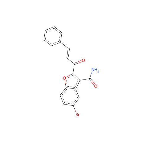 NC(=O)c1c(C(=O)C=Cc2ccccc2)oc2ccc(Br)cc12